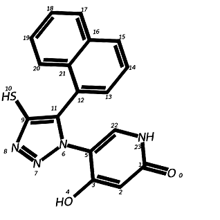 O=c1cc(O)c(-n2nnc(S)c2-c2cccc3ccccc23)c[nH]1